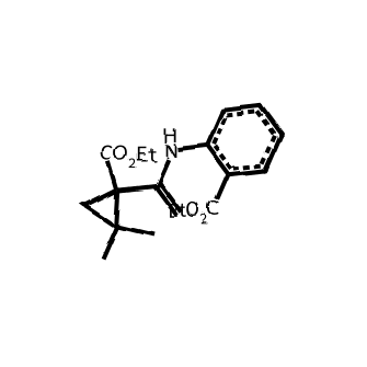 C=C(Nc1ccccc1C(=O)OCC)C1(C(=O)OCC)CC1(C)C